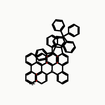 CC1C=C(c2cccc3cccc(-c4ccccc4)c23)C(N(c2ccc(-c3cccc4c3-c3ccccc3C4(c3ccccc3)c3ccccc3)cc2)c2ccccc2-c2ccc3c4ccccc4n(-c4ccccc4)c3c2)=CC1